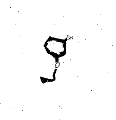 C=CCOc1cccc(S)c1